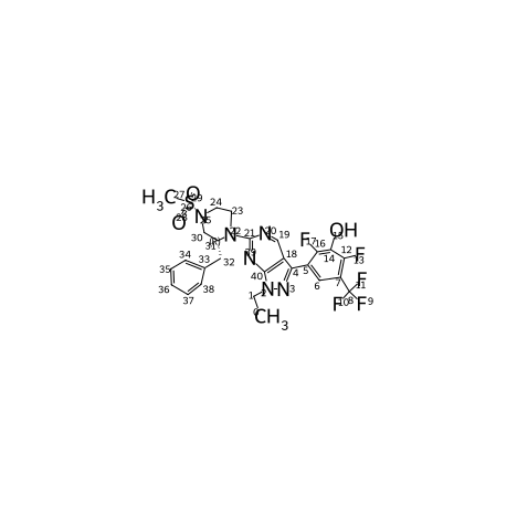 CCn1nc(-c2cc(C(F)(F)F)c(F)c(O)c2F)c2cnc(N3CCN(S(C)(=O)=O)C[C@H]3Cc3ccccc3)nc21